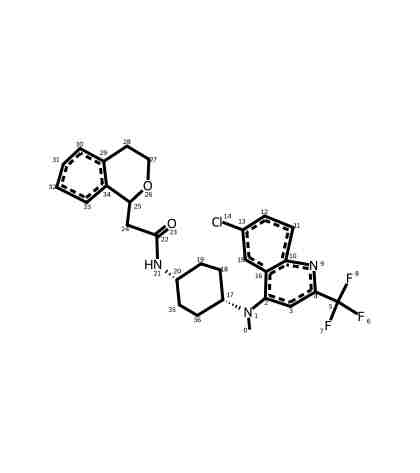 CN(c1cc(C(F)(F)F)nc2ccc(Cl)cc12)[C@H]1CC[C@@H](NC(=O)CC2OCCc3ccccc32)CC1